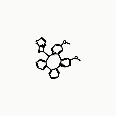 COc1cc[n+]2c(c1)-c1cc(OC)cc[n+]1C(C1Sc3scc[n+]31)c1ccccc1-c1ccccc1-2